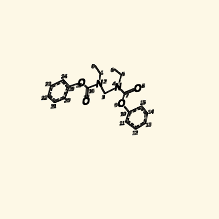 CCN(CN(CC)C(=O)Oc1ccccc1)C(=O)Oc1ccccc1